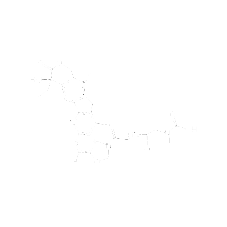 CCC1(O)C(=O)OCc2c1cc1n(c2=O)Cc2c-1nc1cc(F)c3c(c1c2C)N(C(=O)CNC(=O)CNC(=O)O)CO3